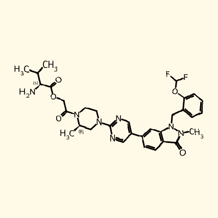 CC(C)[C@H](N)C(=O)OCC(=O)N1CCN(c2ncc(-c3ccc4c(=O)n(C)n(Cc5ccccc5OC(F)F)c4c3)cn2)C[C@H]1C